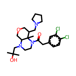 CC(C)(O)CN1CCN(C(=O)Cc2ccc(Cl)c(Cl)c2)C2(C)C(CN3CCCC3)COCC12